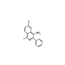 Cc1nc(-c2ccccc2)c(N)c2cc(F)ccc12